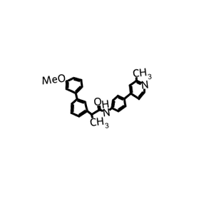 COc1cccc(-c2cccc(C(C)C(=O)Nc3ccc(-c4ccnc(C)c4)cc3)c2)c1